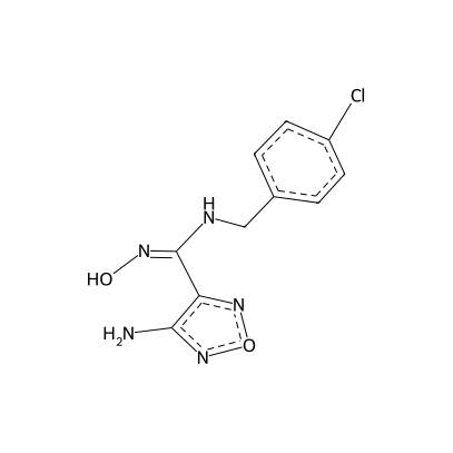 Nc1nonc1/C(=N\O)NCc1ccc(Cl)cc1